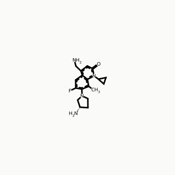 Cc1c(N2CC[C@H](N)C2)c(F)cc2c(CN)cc(=O)n(C3CC3)c12